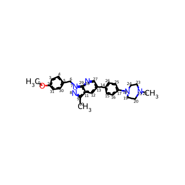 COc1ccc(Cn2nc(C)c3cc(-c4ccc(N5CCN(C)CC5)cc4)cnc32)cc1